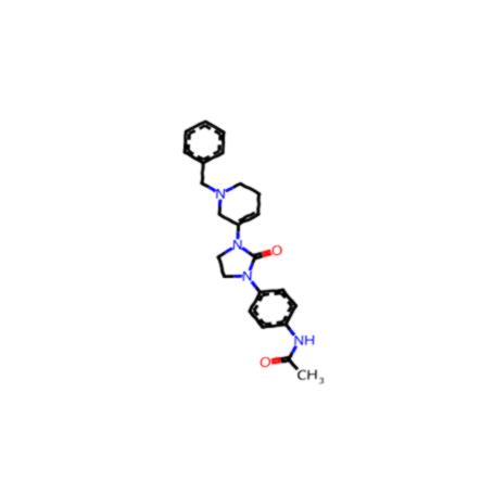 CC(=O)Nc1ccc(N2CCN(C3=CCCN(Cc4ccccc4)C3)C2=O)cc1